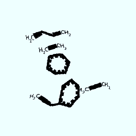 C=C.C=C.C=CC=C.C=Cc1ccccc1.c1ccccc1